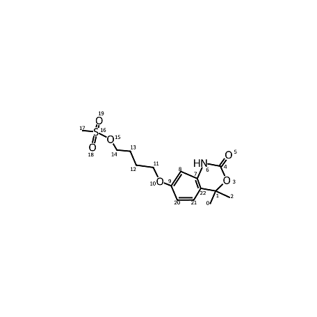 CC1(C)OC(=O)Nc2cc(OCCCCOS(C)(=O)=O)ccc21